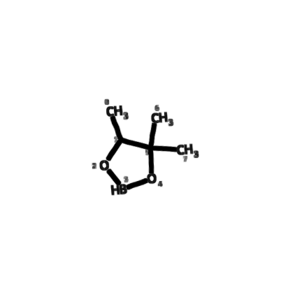 CC1OBOC1(C)C